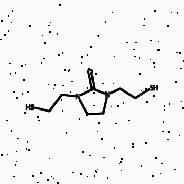 O=C1N(CCS)CCN1CCS